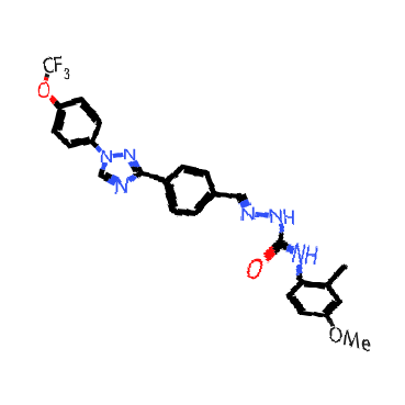 COc1ccc(NC(=O)N/N=C/c2ccc(-c3ncn(-c4ccc(OC(F)(F)F)cc4)n3)cc2)c(C)c1